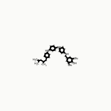 C=C(C)CC(C)Cc1ccc(Nc2ccc(Nc3ccc(NCc4cc(C(C)(C)C)c(O)c(C(C)(C)C)c4)cc3)cc2)cc1